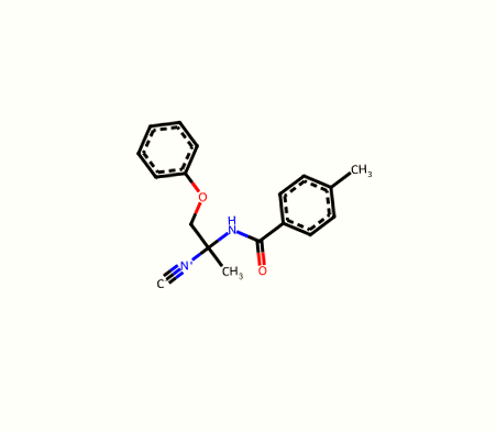 [C-]#[N+]C(C)(COc1ccccc1)NC(=O)c1ccc(C)cc1